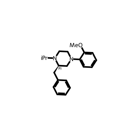 COc1ccccc1N1CCN(C(C)C)[C@H](Cc2ccccc2)C1